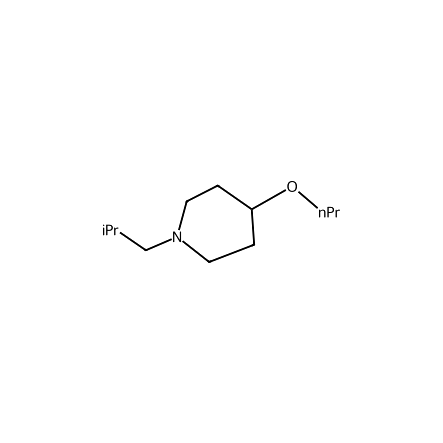 CCCOC1CCN(CC(C)C)CC1